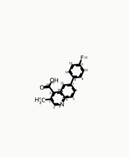 Cc1cnc2ccc(-c3ccc(F)cc3)cc2c1C(=O)O